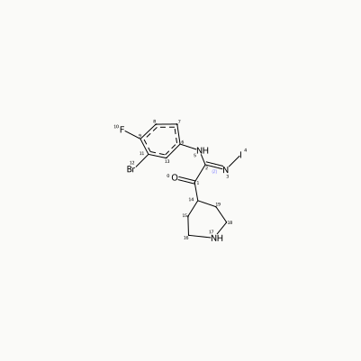 O=C(/C(=N/I)Nc1ccc(F)c(Br)c1)C1CCNCC1